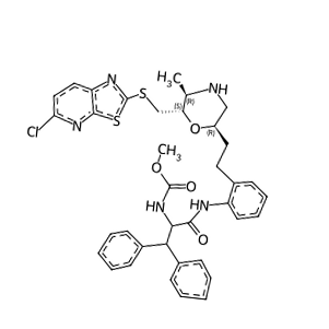 COC(=O)NC(C(=O)Nc1ccccc1CC[C@@H]1CN[C@H](C)[C@@H](CSc2nc3ccc(Cl)nc3s2)O1)C(c1ccccc1)c1ccccc1